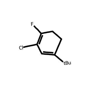 CC(C)(C)C1=CC(Cl)=C(F)CC1